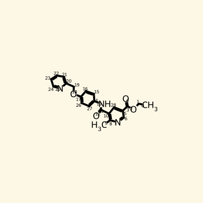 CCOC(=O)c1cnc(C)c(C(=O)Nc2ccc(OCc3ccccn3)cc2)c1